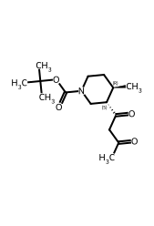 CC(=O)CC(=O)[C@@H]1CN(C(=O)OC(C)(C)C)CC[C@H]1C